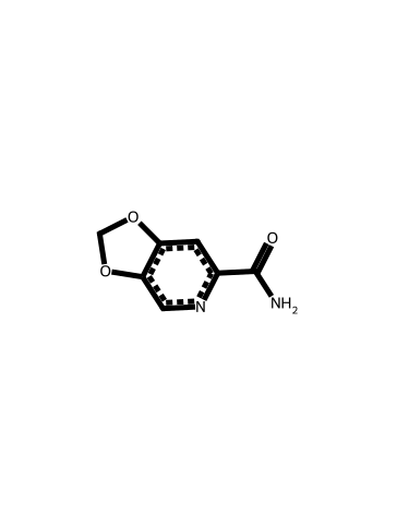 NC(=O)c1cc2c(cn1)OCO2